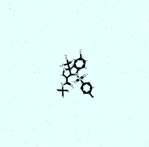 Cc1ccc(S(=O)(=O)N2c3ccc(F)cc3C3(C(F)(F)F)OCC(C(=O)OC(C)(C)C)C23)cc1